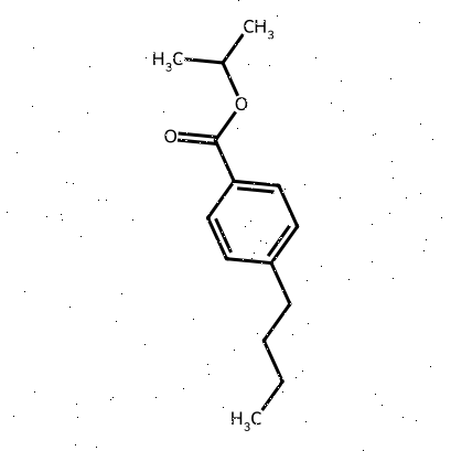 CCCCc1ccc(C(=O)OC(C)C)cc1